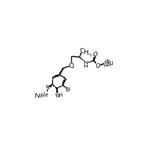 CN/N=C1/C=C(COC[C@@H](C)NC(=O)OC(C)(C)C)C=C(Br)C1=N